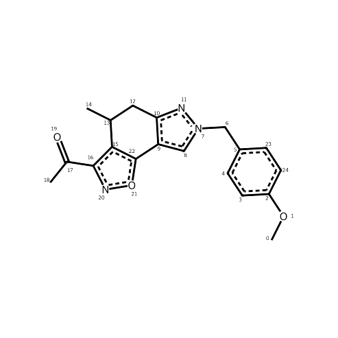 COc1ccc(Cn2cc3c(n2)CC(C)c2c(C(C)=O)noc2-3)cc1